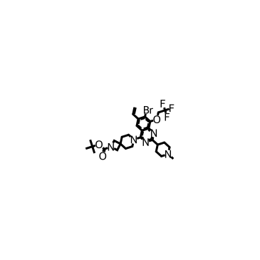 C=Cc1cc2c(N3CCC4(CC3)CN(C(=O)OC(C)(C)C)C4)nc(C3CCN(C)CC3)nc2c(OCC(F)(F)F)c1Br